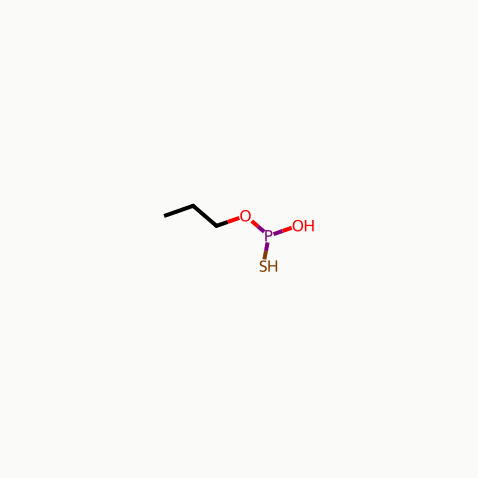 CCCOP(O)S